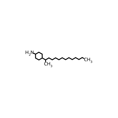 CCCCCCCCCCCCC(C)C1CCC(N)CC1